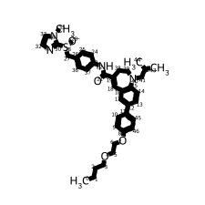 CCCCOCCOc1ccc(-c2ccc3c(c2)C=C(C(=O)Nc2ccc(C[S+]([O-])c4nccn4C)cc2)CCN3CC(C)C)cc1